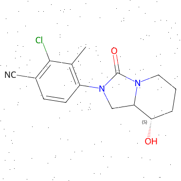 Cc1c(N2CC3[C@@H](O)CCCN3C2=O)ccc(C#N)c1Cl